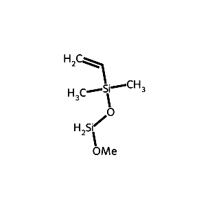 C=C[Si](C)(C)O[SiH2]OC